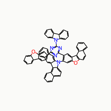 c1ccc2cc3c(cc2c1)c1c2ccccc2ccc1n3-c1cc2oc3ccc4ccccc4c3c2cc1-c1nc(-c2ccc3c(c2)oc2ccccc23)nc(-n2c3ccccc3c3ccccc32)n1